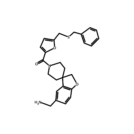 NCc1ccc2c(c1)C1(CCN(C(=O)c3ccc(CSCc4ccccc4)o3)CC1)CO2